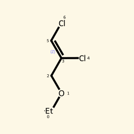 C[CH]OC/C(Cl)=C/Cl